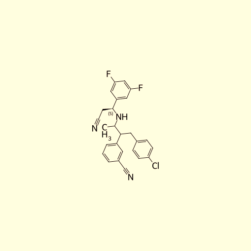 CC(N[C@@H](CC#N)c1cc(F)cc(F)c1)C(Cc1ccc(Cl)cc1)c1cccc(C#N)c1